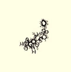 COc1c(-c2cc3c(s2)CCCC3NC(=O)OCc2ccccc2)c(C2CC2)cc2c(=O)c(C(=O)O)c[nH]c12